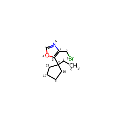 CCC1(c2ocnc2CBr)CCCC1